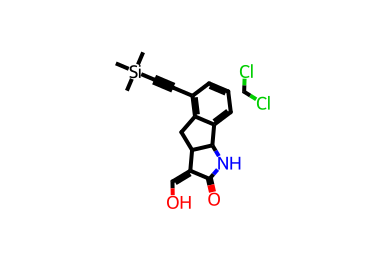 C[Si](C)(C)C#Cc1cccc2c1CC1/C(=C/O)C(=O)NC21.ClCCl